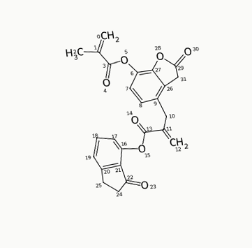 C=C(C)C(=O)Oc1ccc(CC(=C)C(=O)Oc2cccc3c2C(=O)CC3)c2c1OC(=O)C2